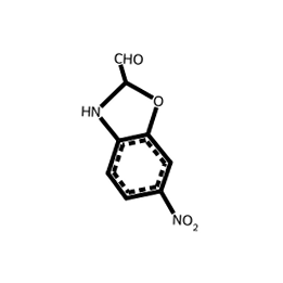 O=CC1Nc2ccc([N+](=O)[O-])cc2O1